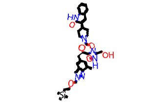 Cc1cc(C[C@@H](OC(=O)N2CCC(c3cc4ccccc4[nH]c3=O)CC2)C2=NC(CO)NO2)cc2cn(COCC[Si](C)(C)C)nc12